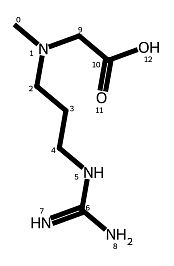 CN(CCCNC(=N)N)CC(=O)O